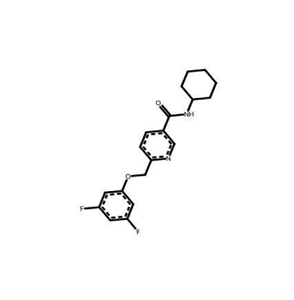 O=C(NC1CCCCC1)c1ccc(COc2cc(F)cc(F)c2)nc1